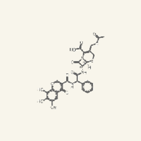 CC(=O)OCC1=C(C(=O)O)N2C(=O)[C@@H](NC(=O)C(NC(=O)c3coc4c(O)c(O)c(O)cc4c3=O)c3ccccc3)[C@@H]2SC1